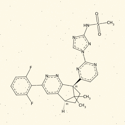 CC1(C)[C@H]2CC[C@@]1(c1ccnc(-n3cnc(NS(C)(=O)=O)n3)n1)c1nnc(-c3c(F)cccc3F)cc12